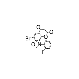 O=C1CC(=O)c2cc(Br)ccc2O1.O=[N+]([O-])c1ccccc1I